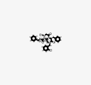 CCN1CC(=O)N2[C@@H](Cc3ccccc3)C(=O)N(Cc3ccccc3Cl)C[C@@H]2N1C(=O)NCc1ccccc1